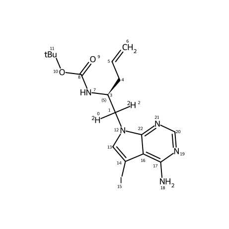 [2H]C([2H])([C@H](CC=C)NC(=O)OC(C)(C)C)n1cc(I)c2c(N)ncnc21